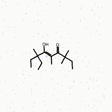 CCC(C)(C)C(=O)/C(C)=C(\O)C(C)(CC)CC